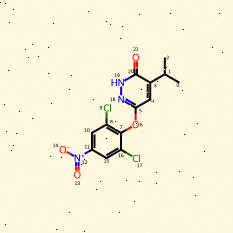 CC(C)c1cc(Oc2c(Cl)cc([N+](=O)[O-])cc2Cl)n[nH]c1=O